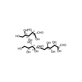 O=C[C@H](O)[C@@H](O)[C@H](O)CO.O=C[C@H](O)[C@@H](O)[C@H](O)[C@H](O)CO.O=C[C@H](O)[C@@H](O)[C@H](O)[C@H](O)CO